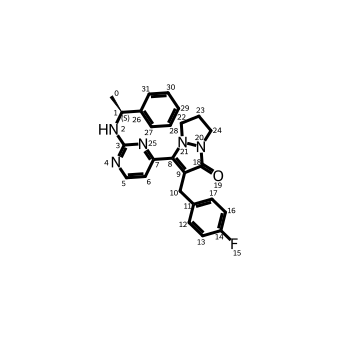 C[C@H](Nc1nccc(-c2c(Cc3ccc(F)cc3)c(=O)n3n2CCC3)n1)c1ccccc1